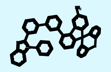 Nc1ccc2c(c1)-c1c(-c3cccc(-c4cccc(-c5nc6ccccc6n5-c5ccccc5)c4)c3)cccc1C21c2ccccc2Sc2ccccc21